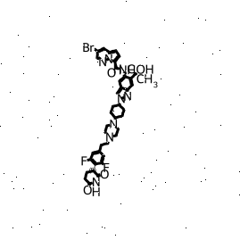 CC(C)(O)c1cc2nn(C3CCC(N4CCN(CCc5cc(F)c([C@H]6CCC(=O)NC6=O)c(F)c5)CC4)CC3)cc2cc1NC(=O)c1ccc2cc(Br)cnn12